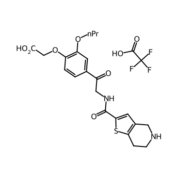 CCCOc1cc(C(=O)CNC(=O)c2cc3c(s2)CCNC3)ccc1OCC(=O)O.O=C(O)C(F)(F)F